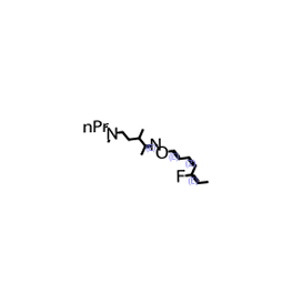 C\C=C(F)/C=C\C=C\O/N=C(\C)C(C)CCN(C)CCC